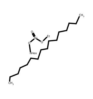 CCCCCCCCCCCCCCCC.CCCCCCO[N+](=O)OCC